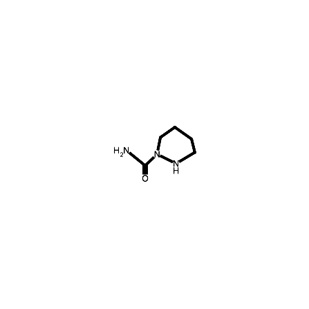 NC(=O)N1CCCCN1